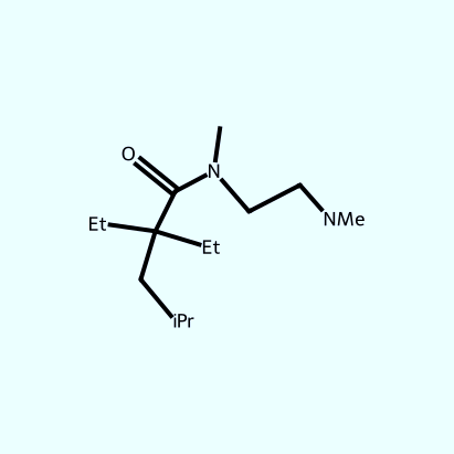 CCC(CC)(CC(C)C)C(=O)N(C)CCNC